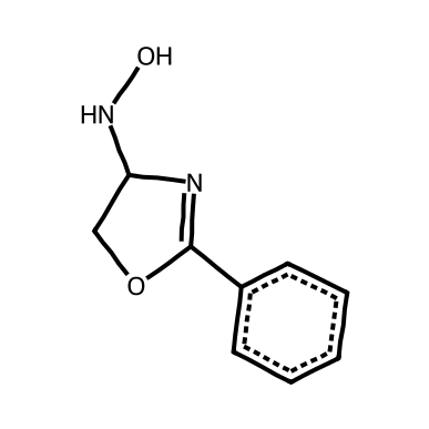 ONC1COC(c2ccccc2)=N1